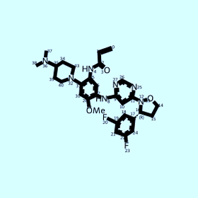 C=CC(=O)Nc1cc(Nc2cc(N3OCC[C@@H]3c3cc(F)cc(F)c3)ncn2)c(OC)cc1N1CCC(N(C)C)CC1